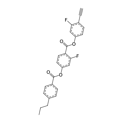 C#Cc1ccc(OC(=O)c2ccc(OC(=O)c3ccc(CCC)cc3)cc2F)cc1F